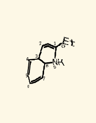 CCC1=CC2C=CC=CC2N1